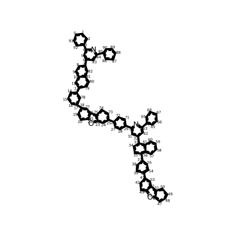 c1ccc(-c2cc(-c3ccc4cc(-c5cccc(-c6ccc7oc8cc(-c9ccc(-c%10cc(-c%11ccc(-c%12ccc(-c%13ccc%14oc%15ccccc%15c%14c%13)cc%12)c%12ccccc%11%12)cc(-c%11ccccc%11)n%10)cc9)ccc8c7c6)c5)ccc4c3)cc(-c3ccccc3)n2)cc1